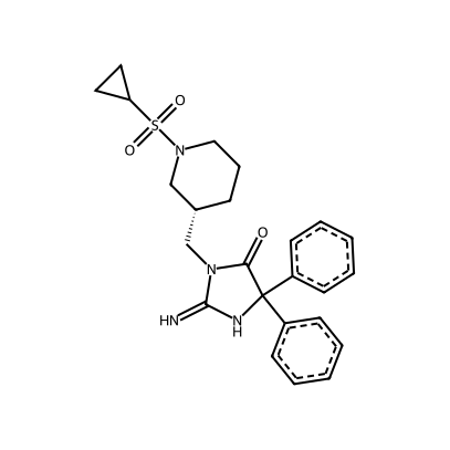 N=C1NC(c2ccccc2)(c2ccccc2)C(=O)N1C[C@H]1CCCN(S(=O)(=O)C2CC2)C1